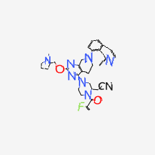 C=C(F)C(=O)N1CCN(c2nc(OCC3CCCN3C)nc3c2CCN(c2cccc4ccnc(C)c24)C3)CC1CC#N